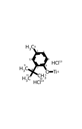 Cc1ccc([O][Ti])c(C(C)(C)C)c1.Cl.Cl